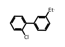 C[CH]c1cccc(-c2ccccc2Cl)c1